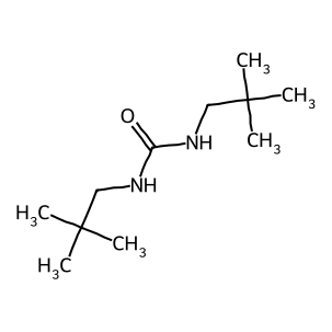 CC(C)(C)CNC(=O)NCC(C)(C)C